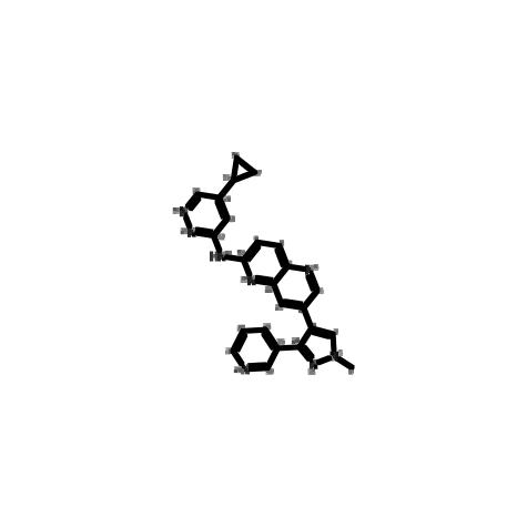 Cn1cc(-c2cnc3ccc(Nc4cc(C5CC5)cnn4)nc3c2)c(-c2cccnc2)n1